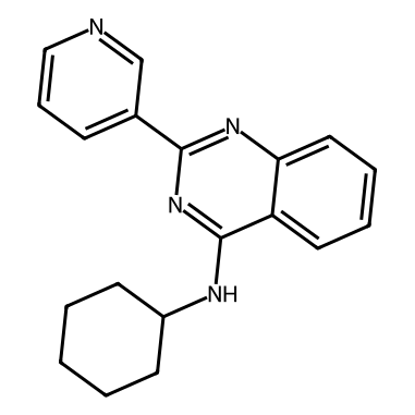 c1cncc(-c2nc(NC3CCCCC3)c3ccccc3n2)c1